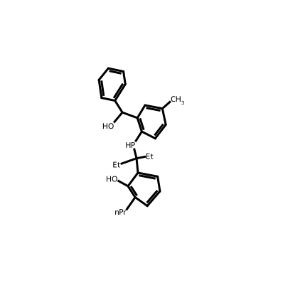 CCCc1cccc(C(CC)(CC)Pc2ccc(C)cc2C(O)c2ccccc2)c1O